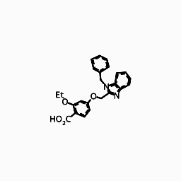 CCOc1cc(OCc2nc3ccccc3n2Cc2ccccc2)ccc1C(=O)O